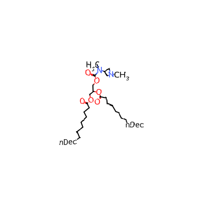 CCCCCCCCCCCCCCCCCC(=O)OCC(COC(=O)N(C)C1CN(C)C1)OC(=O)CCCCCCCCCCCCCCCCC